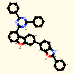 c1ccc(-c2nc(-c3ccccc3)nc(-c3cccc4oc5cc(-c6ccc7nc(-c8ccccc8)oc7c6)ccc5c34)n2)cc1